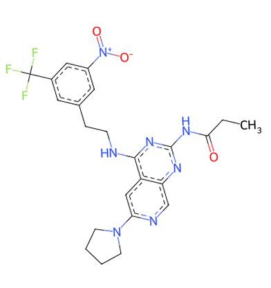 CCC(=O)Nc1nc(NCCc2cc([N+](=O)[O-])cc(C(F)(F)F)c2)c2cc(N3CCCC3)ncc2n1